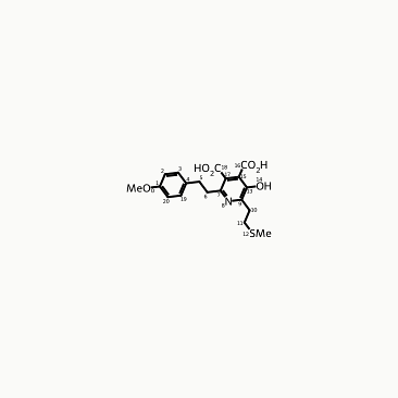 COc1ccc(CCc2nc(CCSC)c(O)c(C(=O)O)c2C(=O)O)cc1